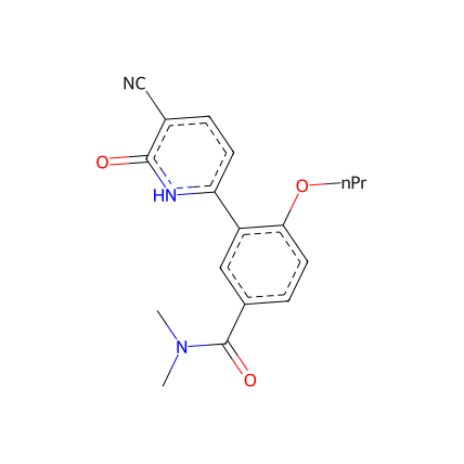 CCCOc1ccc(C(=O)N(C)C)cc1-c1ccc(C#N)c(=O)[nH]1